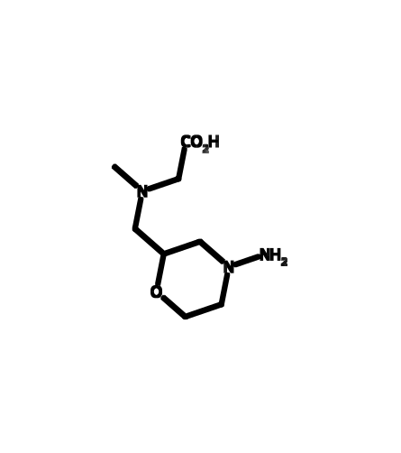 CN(CC(=O)O)CC1CN(N)CCO1